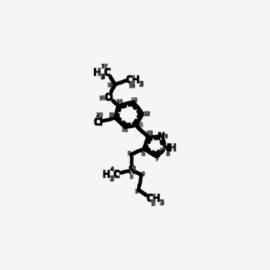 CCCN(C)Cc1c[nH]nc1-c1ccc(OC(C)C)c(Cl)c1